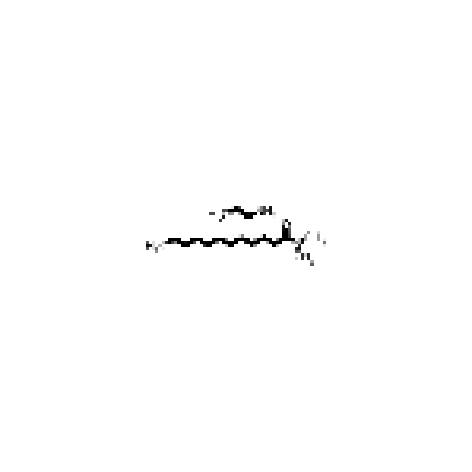 CCCCCCCCCCCC(=O)N(C)C.CCCN